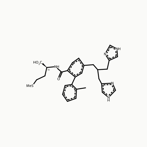 CSCC[C@H](NC(=O)c1ccc(CC(Cc2c[nH]cn2)Cc2c[nH]cn2)cc1-c1ccccc1C)C(=O)O